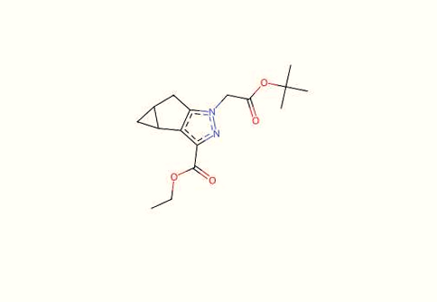 CCOC(=O)c1nn(CC(=O)OC(C)(C)C)c2c1C1CC1C2